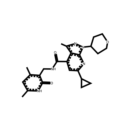 Cc1cc(C)c(CNC(=O)c2cc(C3CC3)nc3c2c(C)nn3C2CCOCC2)c(=O)[nH]1